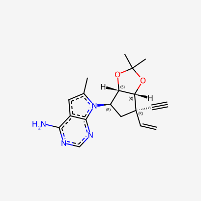 C#C[C@]1(C=C)C[C@@H](n2c(C)cc3c(N)ncnc32)[C@@H]2OC(C)(C)O[C@@H]21